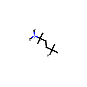 CC(C)C(C)(C)CCC(C)(C)N(C)C